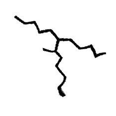 CCCCC[C](CCCCC)C(C)CCCCC